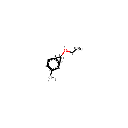 CCC(C)CO[C@@H]1c2ccc(C)cc21